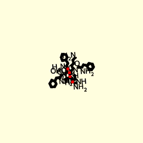 N=C(N)NCCCC([C]=O)(C(=O)[C@@H](N)CC1CCCCC1)N(C(=O)C1CCCN1C(=O)C(CCCCN)NC(=O)C(N)Cc1ccccc1)C(=O)[C@H](N)CC1CCCCC1